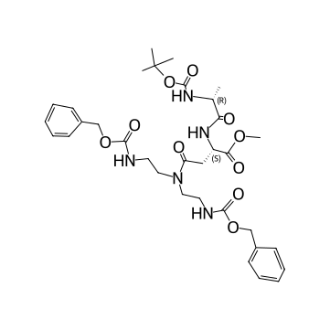 COC(=O)[C@H](CC(=O)N(CCNC(=O)OCc1ccccc1)CCNC(=O)OCc1ccccc1)NC(=O)[C@@H](C)NC(=O)OC(C)(C)C